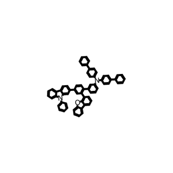 c1ccc(-c2ccc(N(c3ccc(-c4ccccc4)cc3)c3cccc(-c4ccc(-c5ccc6c7ccccc7n(-c7ccccc7)c6c5)cc4-c4cccc5c4oc4ccccc45)c3)cc2)cc1